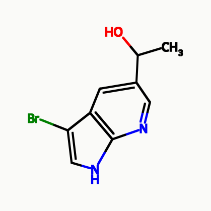 CC(O)c1cnc2[nH]cc(Br)c2c1